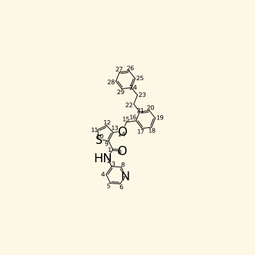 O=C(Nc1cccnc1)c1sccc1OCc1ccccc1CCc1ccccc1